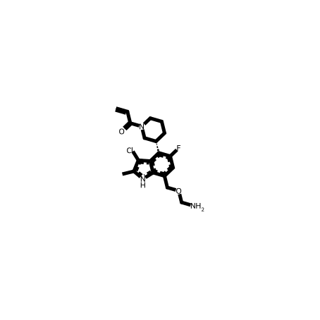 C=CC(=O)N1CCC[C@H](c2c(F)cc(COCN)c3[nH]c(C)c(Cl)c23)C1